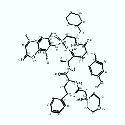 COc1ccc(C[C@H](NC(=O)[C@H](C)NC(=O)[C@H](CCc2ccccc2)NC(=O)C[N+]2([O-])CCOCC2)C(=O)N[C@@H](CC2CCCCC2)CS(=O)(=O)Oc2c(F)cc3c(C)cc(=O)oc3c2F)cc1